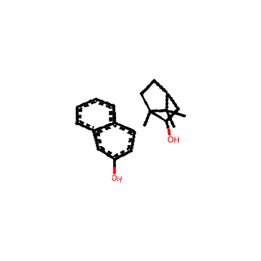 CC1(C)C2CCC1(C)C(O)C2.Oc1ccc2ccccc2c1